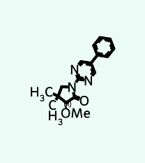 CO[C@H]1C(=O)N(c2ncc(-c3ccccc3)cn2)CC1(C)C